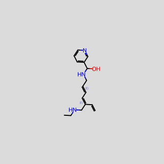 C=C/C(=C\C=C\CNC(O)c1cccnc1)CNCC